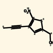 CC#Cc1cc(CO)sc1[N+](=O)[O-]